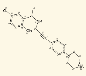 CC(NCC#Cc1ccc(N2CCNCC2)cc1)c1cc(Cl)ccc1O